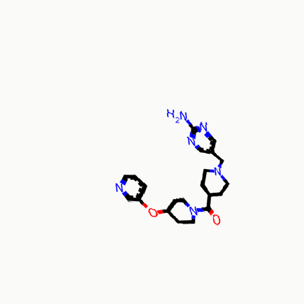 Nc1ncc(CN2CCC(C(=O)N3CCC(Oc4cccnc4)CC3)CC2)cn1